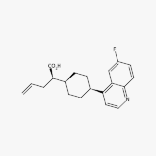 C=CC[C@@H](C(=O)O)[C@H]1CC[C@@H](c2ccnc3ccc(F)cc32)CC1